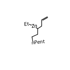 C=CC[CH](CCCCCCC)[Zn][CH2]C